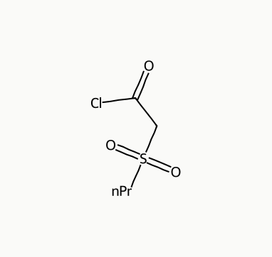 CCCS(=O)(=O)CC(=O)Cl